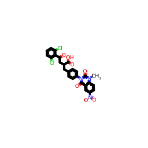 Cn1c(=O)n(-c2ccc(CC(CC(=O)c3c(Cl)cccc3Cl)C(=O)O)cc2)c(=O)c2cc([N+](=O)[O-])ccc21